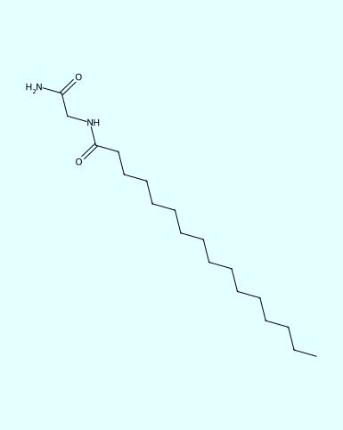 CCCCCCCCCCCCCCCC(=O)NCC(N)=O